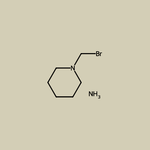 BrCN1CCCCC1.N